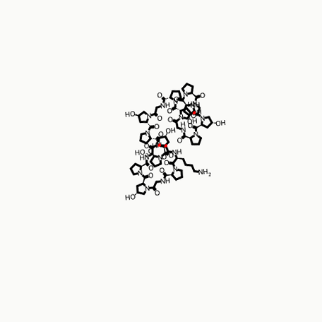 NCCCC[C@H](NC(=O)CNC(=O)[C@@H]1CCCN1C(=O)[C@@H]1C[C@@H](O)CN1C(=O)CNC(=O)[C@@H]1CCCN1C(=O)[C@@H]1C[C@@H](O)CN1C(=O)CNC(=O)[C@@H]1CCCN1C(=O)[C@@H]1C[C@@H](O)CN1C(=O)CNC(=O)[C@@H]1CCCN1C(=O)[C@@H]1C[C@@H](O)CN1)C(=O)N1CCC[C@H]1C(=O)NCC(=O)N1C[C@H](O)C[C@H]1C(=O)N1CCC[C@H]1C(=O)NCC(=O)N1C[C@H](O)C[C@H]1C(=O)N1CCC[C@H]1C(=O)O